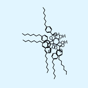 CCCCCCCc1ccc(C(=O)O[C@@]2(C(=O)c3ccc(CCCCCCC)cc3)[C@@](OC(=O)c3ccc(CCCCCCC)cc3)(C(=O)c3ccc(CCCCCCC)cc3)[C@@H](O)[C@H](O)[C@@H](O)[C@@]2(OC(=O)c2ccc(CCCCCCC)cc2)C(=O)c2ccc(CCCCCCC)cc2)cc1